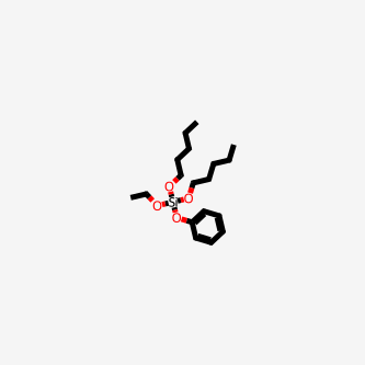 CCCCCO[Si](OCC)(OCCCCC)Oc1ccccc1